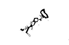 CCOC(=O)c1nc2c(s1)CN(C(C)=Nc1ccccc1)CC2